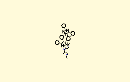 C=C/C=C\C(C)/C=C(\C=C/CC)c1nc(-c2ccccc2)cc(-c2ccc(-c3ccccc3-c3nc(-c4ccccc4)nc(-c4ccccc4)n3)cc2)n1